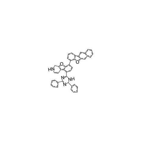 C1=Cc2c(oc3c(-c4cccc5c4oc4cc6ccccc6cc45)ccc(C4=NC(c5ccccc5)=NC(c5ccccc5)N4)c23)CN1